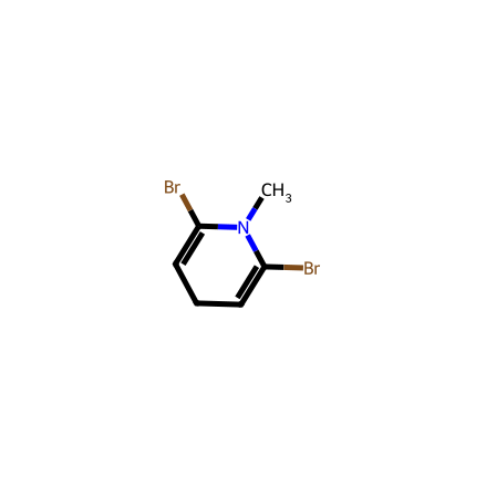 CN1C(Br)=CCC=C1Br